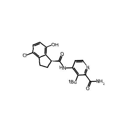 CC(C)(C)c1c(NC(=O)[C@H]2CCc3c(Cl)ccc(O)c32)ccnc1C(N)=O